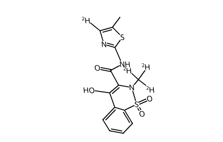 [2H]c1nc(NC(=O)C2=C(O)c3ccccc3S(=O)(=O)N2C([2H])([2H])[2H])sc1C